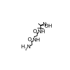 CC(=NO)C(C)(C)NC(=O)CCNC(=O)CN